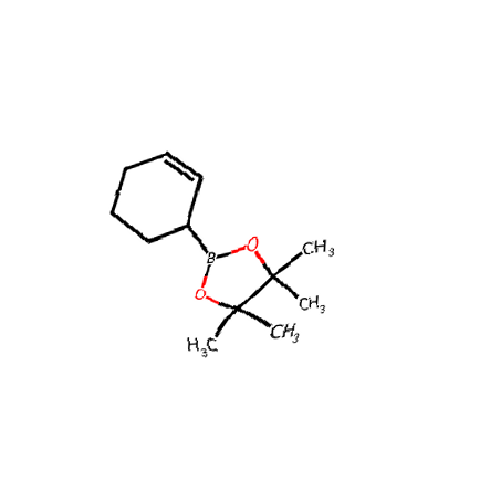 CC1(C)OB(C2C=CCCC2)OC1(C)C